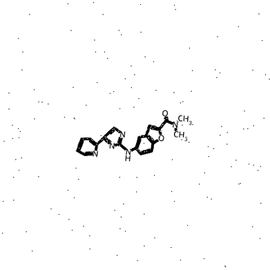 CN(C)C(=O)c1cc2cc(Nc3nccc(-c4ccccn4)n3)ccc2o1